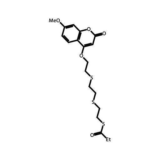 CCC(=O)SCCSCCSCCOc1cc(=O)oc2cc(OC)ccc12